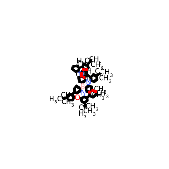 CC(C)(C)c1ccc(N2c3cc(N4c5ccc(C(C)(C)C)cc5C5(C)CCCCC45C)ccc3B3c4ccc5c(oc6ccc(C(C)(C)C)cc65)c4N(c4ccc(C(C)(C)C)cc4-c4ccccc4)c4cc(C(C)(C)C)cc2c43)c(-c2ccccc2)c1